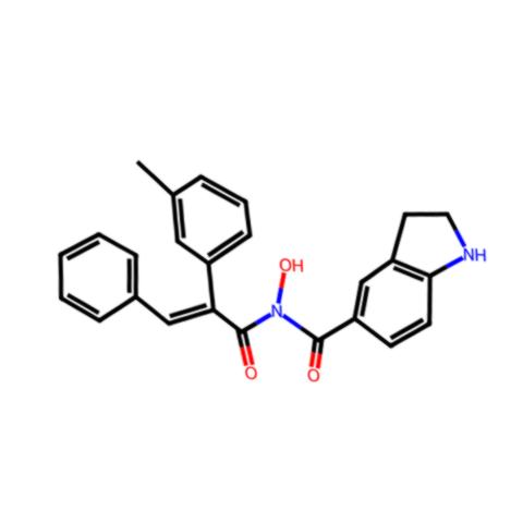 Cc1cccc(C(=Cc2ccccc2)C(=O)N(O)C(=O)c2ccc3c(c2)CCN3)c1